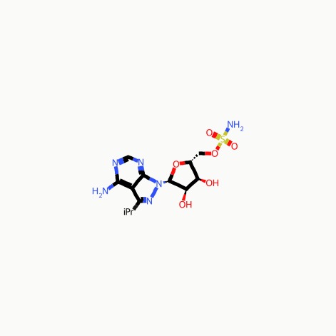 CC(C)c1nn([C@@H]2O[C@H](COS(N)(=O)=O)[C@@H](O)[C@H]2O)c2ncnc(N)c12